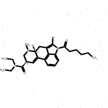 CCCCCC(=O)n1c(Br)c2c3c(cccc31)C1=C[C@@H](C(=O)N(CC)CC)CN(C)[C@@H]1C2